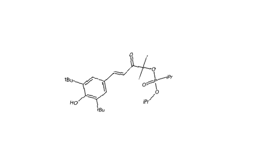 CC(C)OP(=O)(OC(C)(C)C(=O)C=Cc1cc(C(C)(C)C)c(O)c(C(C)(C)C)c1)C(C)C